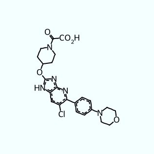 O=C(O)C(=O)N1CCC(Oc2nc3nc(-c4ccc(N5CCOCC5)cc4)c(Cl)cc3[nH]2)CC1